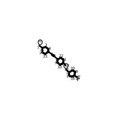 O=Cc1ccc(C#Cc2ccc(OCc3ccc(F)cc3)cc2)cc1